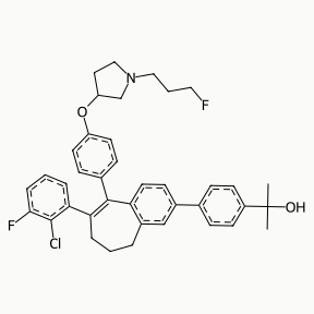 CC(C)(O)c1ccc(-c2ccc3c(c2)CCCC(c2cccc(F)c2Cl)=C3c2ccc(OC3CCN(CCCF)C3)cc2)cc1